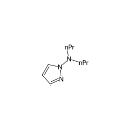 CCCN(CCC)n1cc[c]n1